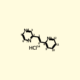 C(=C\c1cnccn1)/c1ccccn1.Cl